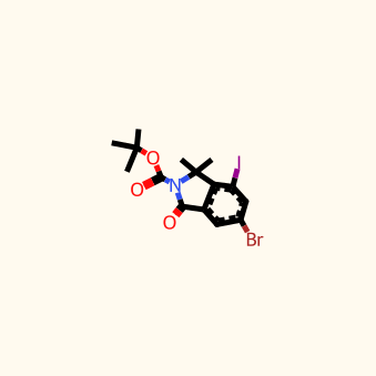 CC(C)(C)OC(=O)N1C(=O)c2cc(Br)cc(I)c2C1(C)C